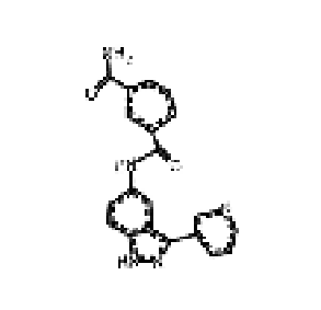 NC(=O)c1cccc(C(=O)Nc2ccc3[nH]nc(-c4cccnc4)c3c2)c1